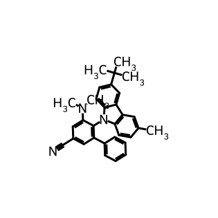 Cc1ccc2c(c1)c1cc(C(C)(C)C)ccc1n2-c1c(-c2ccccc2)cc(C#N)cc1N(C)C